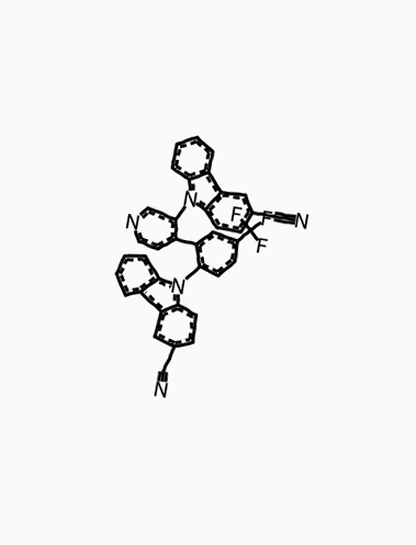 N#Cc1ccc2c(c1)c1ccccc1n2-c1ccc(C(F)(F)F)cc1-c1ccncc1-n1c2ccccc2c2cc(C#N)ccc21